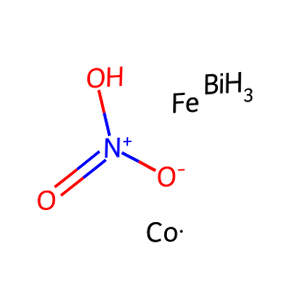 O=[N+]([O-])O.[BiH3].[Co].[Fe]